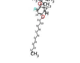 CCCCCCCCCCCCOC1=CC(F)=C(OC(C)(C)CC)C2C[C@H]12